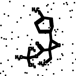 CCC1(C(=O)OC(C)(C)C)OC1c1ccc(C)cc1